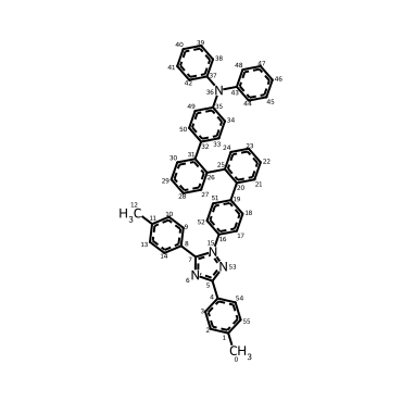 Cc1ccc(-c2nc(-c3ccc(C)cc3)n(-c3ccc(-c4ccccc4-c4ccccc4-c4ccc(N(c5ccccc5)c5ccccc5)cc4)cc3)n2)cc1